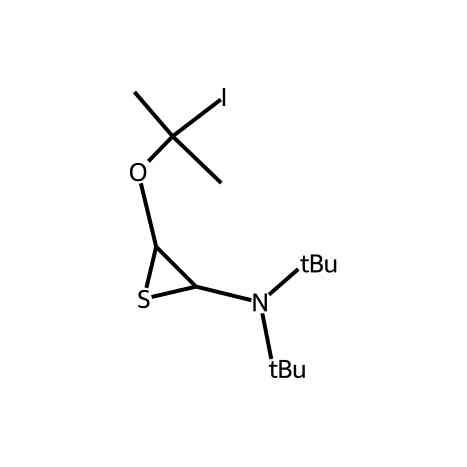 CC(C)(I)OC1SC1N(C(C)(C)C)C(C)(C)C